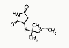 CCCC(C)(C)SC1CC(=O)NC1=O